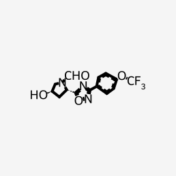 O=CN1C[C@@H](O)C[C@H]1c1nc(-c2ccc(OC(F)(F)F)cc2)no1